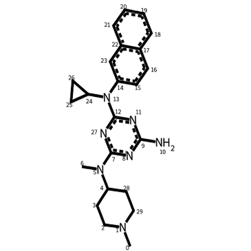 CN1CCC(N(C)c2nc(N)nc(N(c3ccc4ccccc4c3)C3CC3)n2)CC1